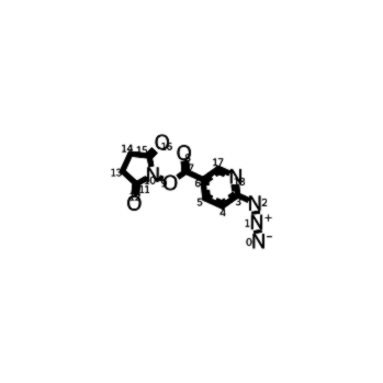 [N-]=[N+]=Nc1ccc(C(=O)ON2C(=O)CCC2=O)cn1